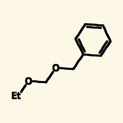 CCOCOCc1ccccc1